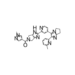 Cc1cccc(-c2nc3n(c2-c2ccnc(-c4nc5c([nH]4)CN(C(=O)c4cnn(C)c4)C5)c2)CCC3)n1